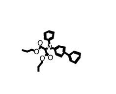 CCCOC(=O)C(C(=O)OCCC)N(c1ccccc1)c1ccc(-c2ccccc2)cc1